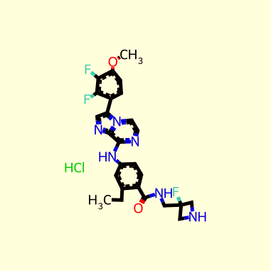 CCc1cc(Nc2nccn3c(-c4ccc(OC)c(F)c4F)cnc23)ccc1C(=O)NCC1(F)CNC1.Cl